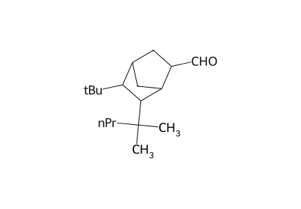 CCCC(C)(C)C1C2CC(CC2C=O)C1C(C)(C)C